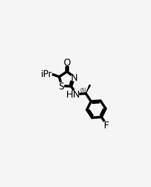 CC(C)C1SC(N[C@@H](C)c2ccc(F)cc2)=NC1=O